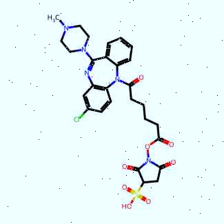 CN1CCN(C2=Nc3cc(Cl)ccc3N(C(=O)CCCCC(=O)ON3C(=O)CC(S(=O)(=O)O)C3=O)c3ccccc32)CC1